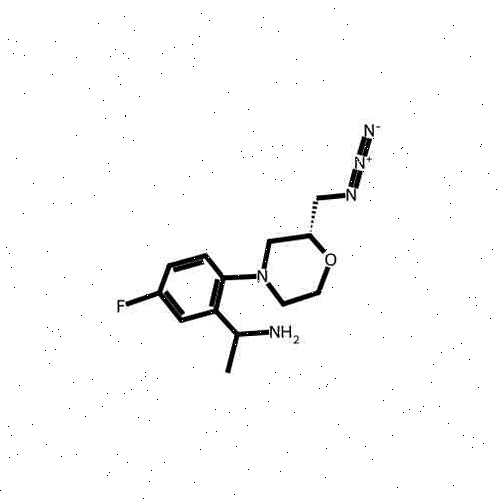 CC(N)c1cc(F)ccc1N1CCO[C@@H](CN=[N+]=[N-])C1